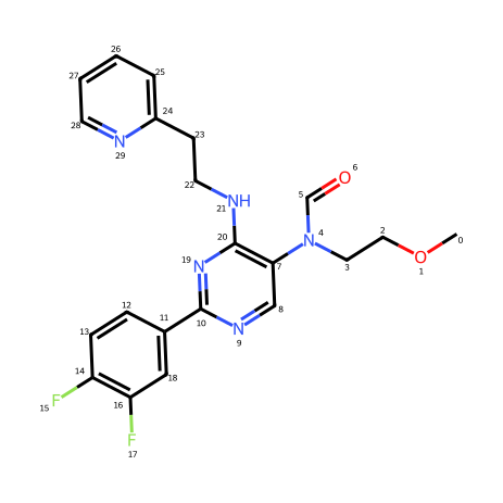 COCCN(C=O)c1cnc(-c2ccc(F)c(F)c2)nc1NCCc1ccccn1